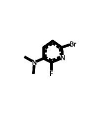 CN(C)c1ccc(Br)nc1F